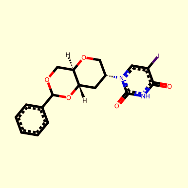 O=c1[nH]c(=O)n([C@H]2CO[C@@H]3COC(c4ccccc4)O[C@H]3C2)cc1I